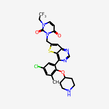 Cc1cc(Cl)cc(-c2ncnc3cc(Cn4c(=O)ccn(CC(F)(F)F)c4=O)sc23)c1OC1CCNCC1